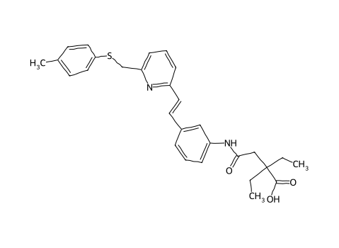 CCC(CC)(CC(=O)Nc1cccc(C=Cc2cccc(CSc3ccc(C)cc3)n2)c1)C(=O)O